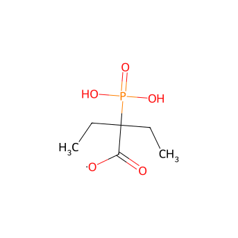 CCC(CC)(C([O])=O)P(=O)(O)O